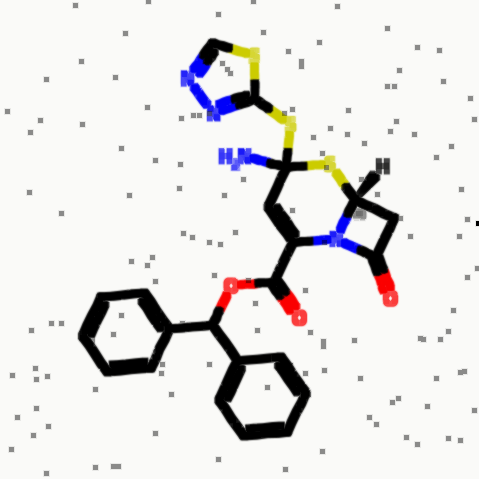 NC1(Sc2nncs2)C=C(C(=O)OC(c2ccccc2)c2ccccc2)N2C(=O)C[C@H]2S1